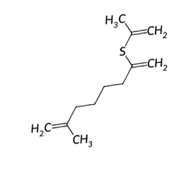 C=C(C)CCCCC(=C)SC(=C)C